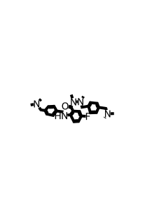 CN(C)Cc1ccc(CNc2ccc(F)cc2C(=O)N(C)N(C)Cc2ccc(CN(C)C)cc2)cc1